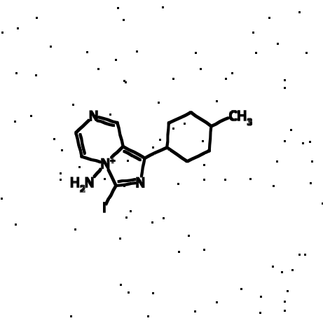 CC1CCC(C2=C3C=NC=C[N+]3(N)C(I)=N2)CC1